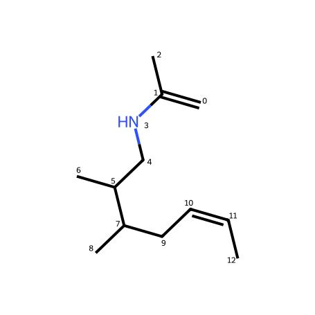 C=C(C)NCC(C)C(C)C/C=C\C